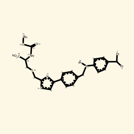 CCC(CC)c1ccc(N(Cc2ccc(-c3csc(CSCC(NC(=O)OC(C)(C)C)C(=O)O)n3)cc2)C(C)C)cc1